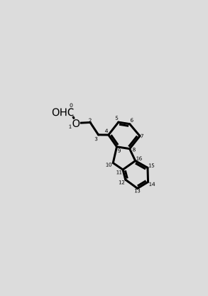 O=COCCc1cccc2c1Cc1ccccc1-2